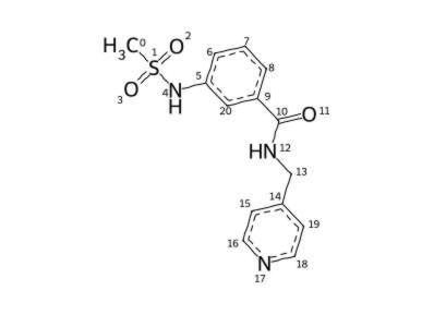 CS(=O)(=O)Nc1cccc(C(=O)NCc2ccncc2)c1